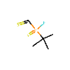 CC(C)(C)P(F)(=S)C=S